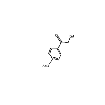 CC(=O)Oc1ccc(C(=O)CO)cc1